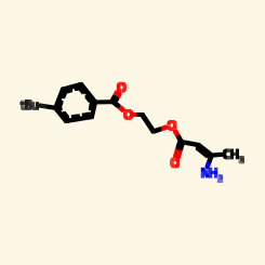 C/C(N)=C/C(=O)OCCOC(=O)c1ccc(C(C)(C)C)cc1